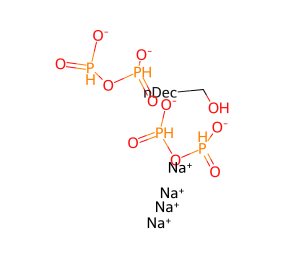 CCCCCCCCCCCO.O=[PH]([O-])O[PH](=O)[O-].O=[PH]([O-])O[PH](=O)[O-].[Na+].[Na+].[Na+].[Na+]